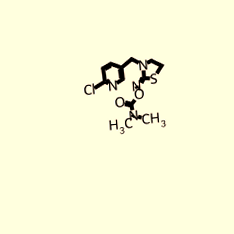 CN(C)C(=O)ON=C1SCCN1Cc1ccc(Cl)nc1